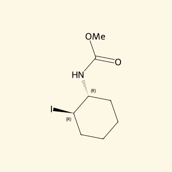 COC(=O)N[C@@H]1CCCC[C@H]1I